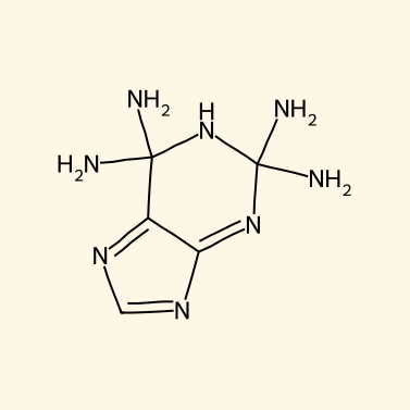 NC1(N)N=C2N=CN=C2C(N)(N)N1